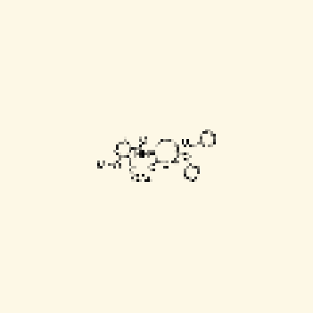 COc1ccnc(C(=O)N[C@H]2CCC[C@H](OCc3ccccc3)[C@@H](Oc3ccccc3)[C@H](C)OC2=O)c1OCOC(C)=O